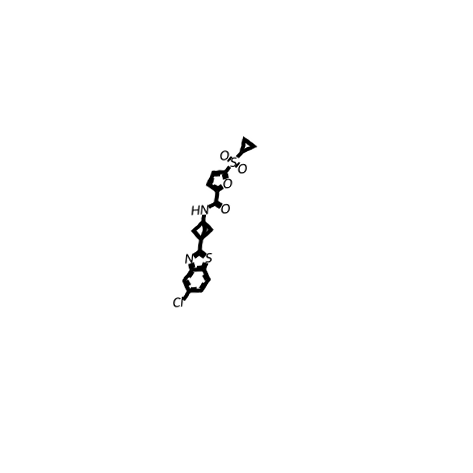 O=C(NC12CC(c3nc4cc(Cl)ccc4s3)(C1)C2)c1ccc(S(=O)(=O)C2CC2)o1